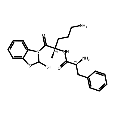 C[C@@](CCCN)(NC(=O)[C@@H](N)Cc1ccccc1)C(=O)N1c2ccccc2SC1S